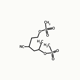 CC(CC(C#N)CCOS(C)(=O)=O)OS(C)(=O)=O